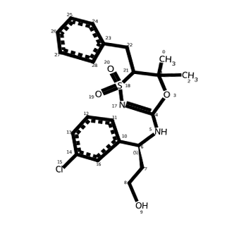 CC1(C)OC(N[C@@H](CCO)c2cccc(Cl)c2)=NS(=O)(=O)C1Cc1ccccc1